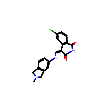 CN1Cc2ccc(NC=C3C(=O)NC(=O)c4ccc(Br)cc43)cc2C1